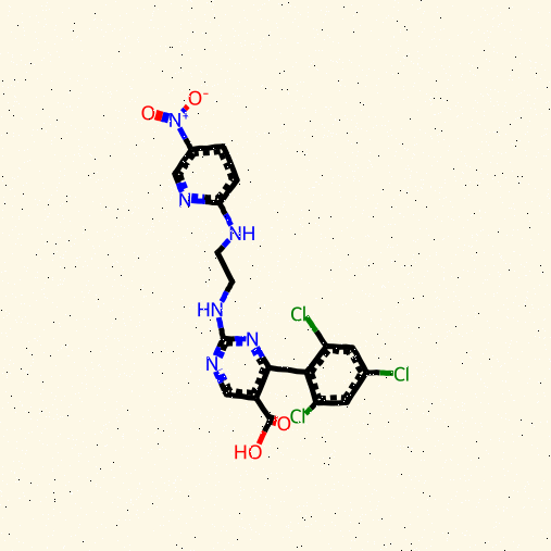 O=C(O)c1cnc(NCCNc2ccc([N+](=O)[O-])cn2)nc1-c1c(Cl)cc(Cl)cc1Cl